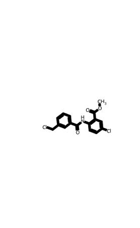 COC(=O)c1cc(Cl)ccc1NC(=O)c1cccc(CCl)c1